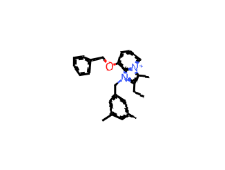 CCc1c(C)[n+]2cccc(OCc3ccccc3)c2n1Cc1cc(C)cc(C)c1